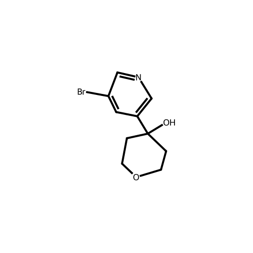 OC1(c2cncc(Br)c2)CCOCC1